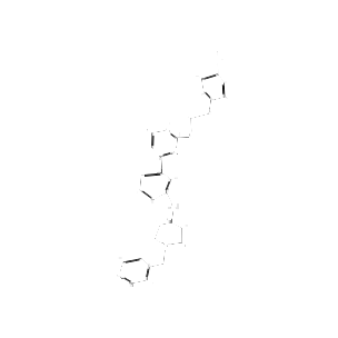 Oc1ccc(CCNc2nccc(-c3cccc(NC4CCN(Cc5ccncc5)CC4)c3)n2)cc1